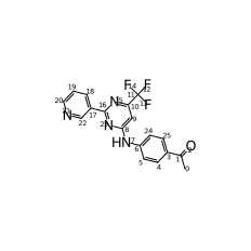 CC(=O)c1ccc(Nc2cc(C(F)(F)F)nc(-c3cccnc3)n2)cc1